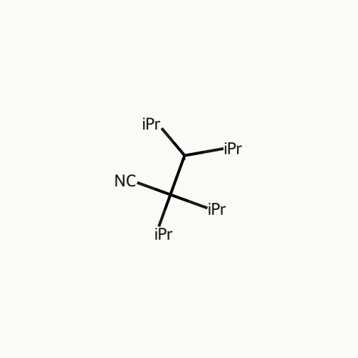 CC(C)[C](C(C)C)C(C#N)(C(C)C)C(C)C